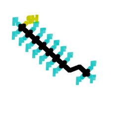 FC(F)(F)CCC(F)(F)C(F)(F)C(F)(F)C(F)(F)C(F)(F)C(F)(F)C(F)(F)S